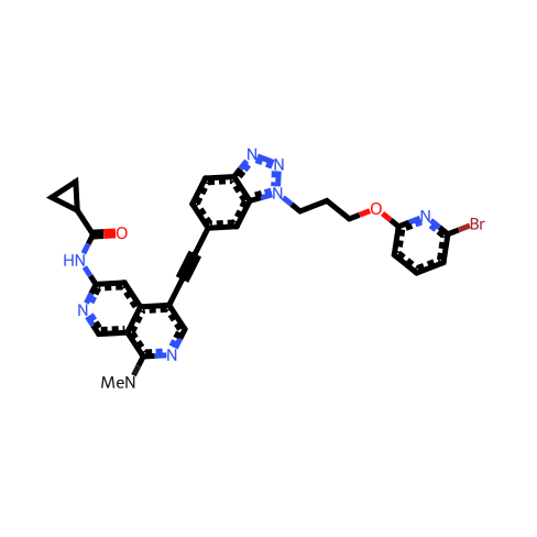 CNc1ncc(C#Cc2ccc3nnn(CCCOc4cccc(Br)n4)c3c2)c2cc(NC(=O)C3CC3)ncc12